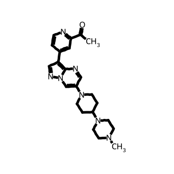 CC(=O)c1cc(-c2cnn3cc(N4CCC(N5CCN(C)CC5)CC4)cnc23)ccn1